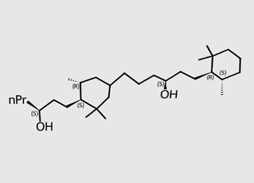 CCC[C@H](O)CC[C@H]1[C@H](C)CC(CCC[C@H](O)CC[C@@H]2[C@@H](C)CCCC2(C)C)CC1(C)C